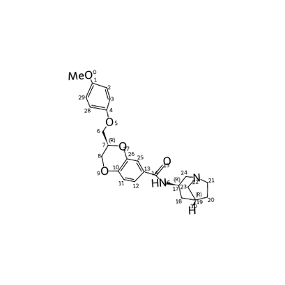 COc1ccc(OC[C@@H]2COc3ccc(C(=O)N[C@@H]4C[C@H]5CCN(C5)C4)cc3O2)cc1